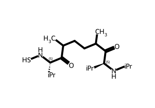 CC(C)N[C@H](C(=O)C(C)CCC(C)C(=O)[C@@H](NS)C(C)C)C(C)C